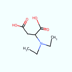 CCN(CC)C(CC(=O)O)C(=O)O